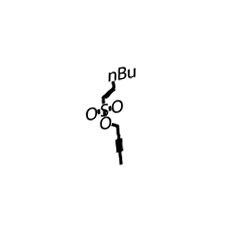 CC#CCOS(=O)(=O)/C=C/CCCC